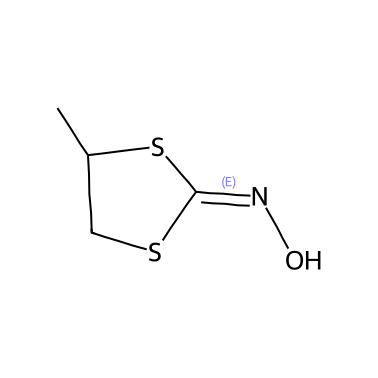 CC1CS/C(=N\O)S1